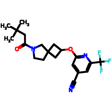 CC(C)(C)CC(=O)N1CCC2(CC(Oc3cc(C#N)cc(C(F)(F)F)n3)C2)C1